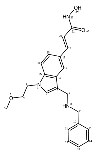 COCCn1cc(CNCc2ccccc2)c2cc(/C=C/C(=O)NO)ccc21